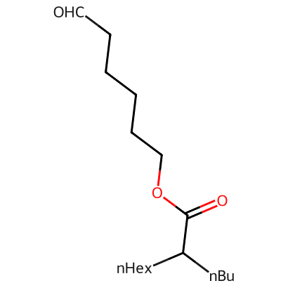 CCCCCCC(CCCC)C(=O)OCCCCCC=O